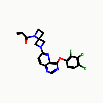 C=CC(=O)N1CCC12CN(c1ccc3ncnc(Oc4ccc(Cl)c(Cl)c4F)c3n1)C2